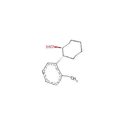 Cc1ccccc1[C@H]1CCCC[C@@H]1O